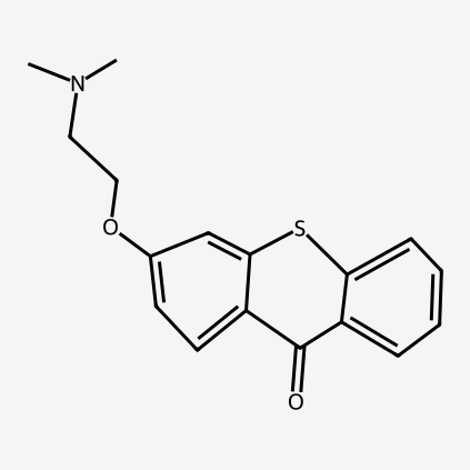 CN(C)CCOc1ccc2c(=O)c3ccccc3sc2c1